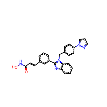 O=C(/C=C/c1cccc(-c2nc3ccccc3n2Cc2ccc(-n3cccn3)cc2)c1)NO